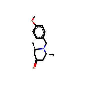 COc1ccc(CN2[C@H](C)CC(=O)C[C@@H]2C)cc1